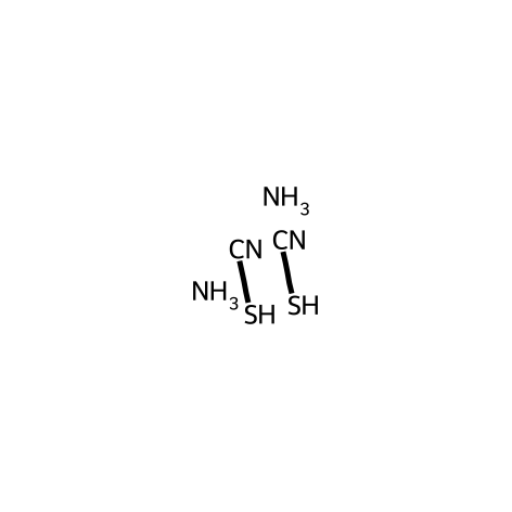 N.N.N#CS.N#CS